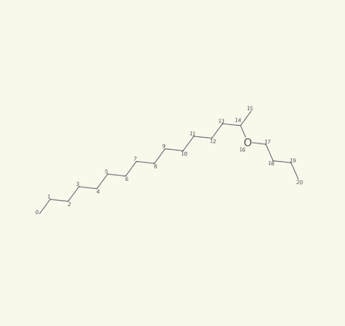 CCCCCCCCCCCCCCC(C)OCCCC